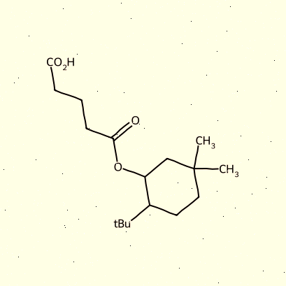 CC1(C)CCC(C(C)(C)C)C(OC(=O)CCCC(=O)O)C1